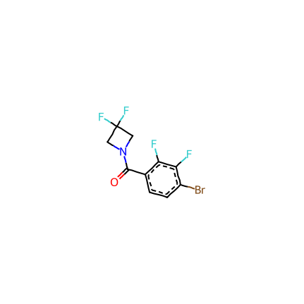 O=C(c1ccc(Br)c(F)c1F)N1CC(F)(F)C1